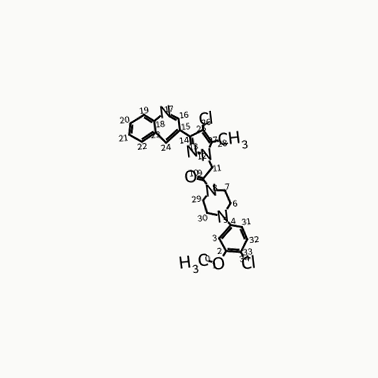 COc1cc(N2CCN(C(=O)Cn3nc(-c4cnc5ccccc5c4)c(Cl)c3C)CC2)ccc1Cl